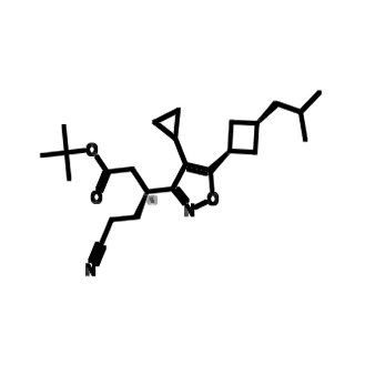 CC(C)C[C@H]1C[C@@H](c2onc([C@@H](CCC#N)CC(=O)OC(C)(C)C)c2C2CC2)C1